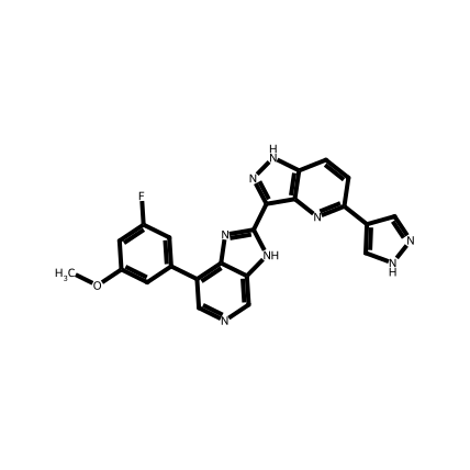 COc1cc(F)cc(-c2cncc3[nH]c(-c4n[nH]c5ccc(-c6cn[nH]c6)nc45)nc23)c1